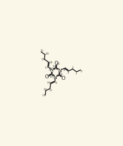 CCCC=Cn1c(=O)n(C=CCCC)c(=O)n(C=CCCC)c1=O